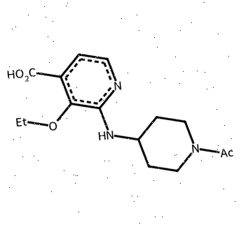 CCOc1c(C(=O)O)ccnc1NC1CCN(C(C)=O)CC1